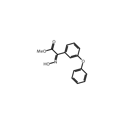 COC(=O)C(=NO)c1cccc(Oc2ccccc2)c1